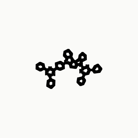 c1ccc(-c2cc(-c3ccccc3)nc(-n3c4ccccc4c4c5c6ccccc6n(-c6ccc(-c7nc(-c8ccccc8)nc(-c8ccccc8)n7)cc6)c5ccc43)n2)cc1